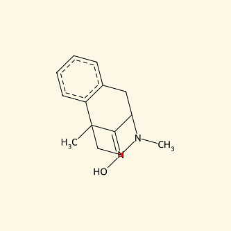 CN1CCC2(C)/C(=N\O)C1Cc1ccccc12